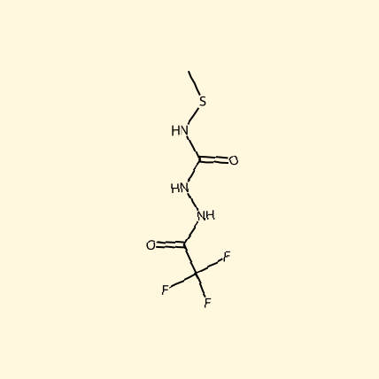 CSNC(=O)NNC(=O)C(F)(F)F